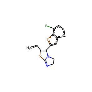 C=CC1=C(c2cc3cccc(F)c3s2)N2CCN=C2S1